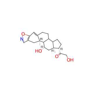 C[C@]12Cc3cnoc3C=C1CCC1C2[C@@H](O)C[C@@]2(C)C1CC[C@@H]2C(=O)CO